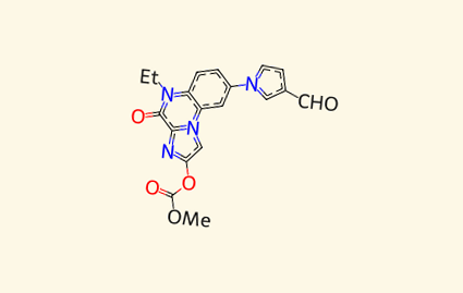 CCn1c(=O)c2nc(OC(=O)OC)cn2c2cc(-n3ccc(C=O)c3)ccc21